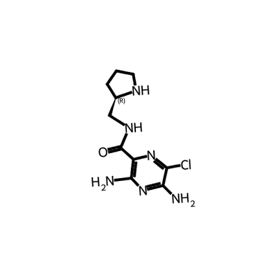 Nc1nc(N)c(C(=O)NC[C@H]2CCCN2)nc1Cl